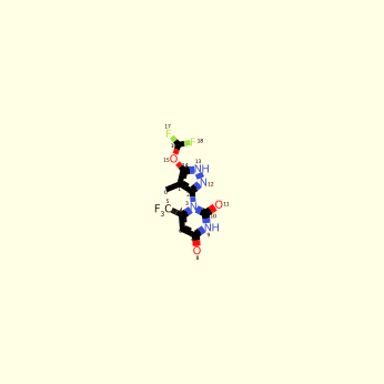 Cc1c(-n2c(C(F)(F)F)cc(=O)[nH]c2=O)n[nH]c1OC(F)F